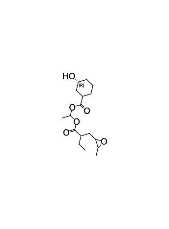 CCC(CC1OC1C)C(=O)OC(C)OC(=O)C1CCC[C@@H](O)C1